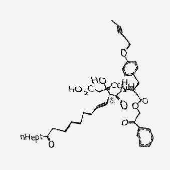 CC#CCOc1ccc(C[C@H](NC(=O)[C@@H](C=CCCCCCCC(=O)CCCCCCC)[C@@](O)(CC(=O)O)C(=O)O)C(=O)OCC(=O)c2ccccc2)cc1